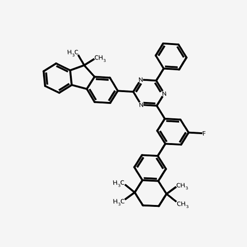 CC1(C)CCC(C)(C)c2cc(-c3cc(F)cc(-c4nc(-c5ccccc5)nc(-c5ccc6c(c5)C(C)(C)c5ccccc5-6)n4)c3)ccc21